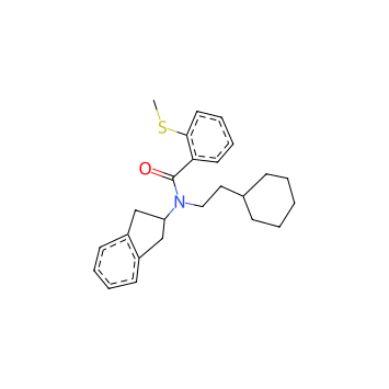 CSc1ccccc1C(=O)N(CCC1CCCCC1)C1Cc2ccccc2C1